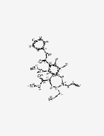 C=CCN1Cc2c(F)c(C)c(C(=O)Oc3ccccc3)c(OCCCC)c2N(C(=O)OC(C)(C)C)C[C@H]1CC(C)C